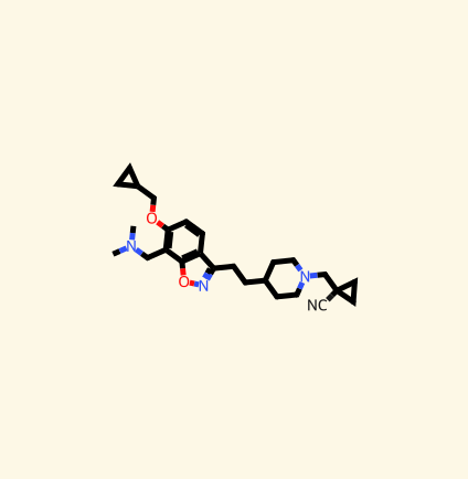 CN(C)Cc1c(OCC2CC2)ccc2c(CCC3CCN(CC4(C#N)CC4)CC3)noc12